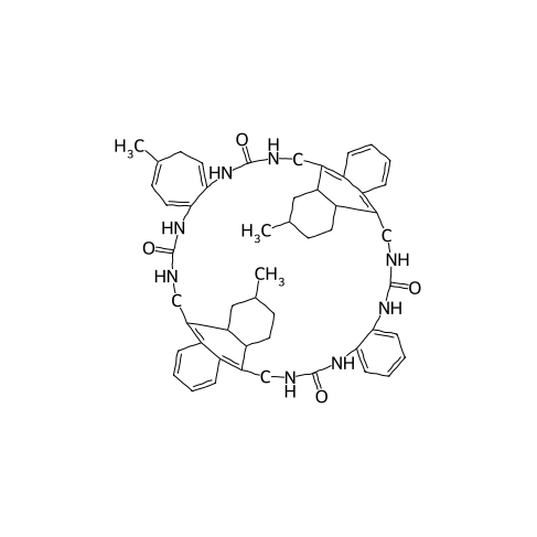 CC1=CC=C2NC(=O)NCC3=c4ccccc4=C(CNC(=O)Nc4ccccc4NC(=O)NCC4=c5ccccc5=C(CNC(=O)NC2=CC1)C1CC(C)CCC41)C1CCC(C)CC31